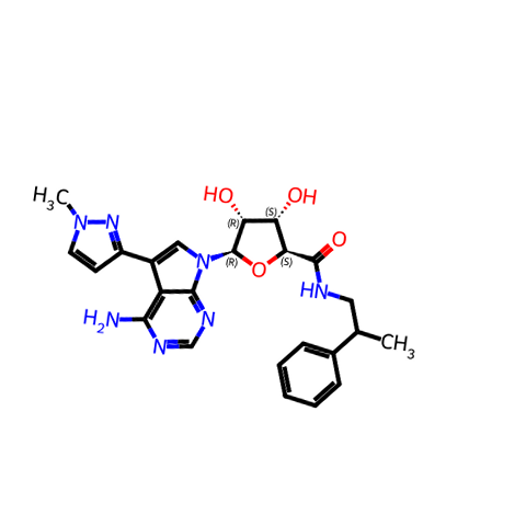 CC(CNC(=O)[C@H]1O[C@@H](n2cc(-c3ccn(C)n3)c3c(N)ncnc32)[C@H](O)[C@@H]1O)c1ccccc1